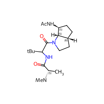 CN[C@@H](C)C(=O)NC(C(=O)N1CC[C@H]2CC[C@H](NC(C)=O)[C@H]21)C(C)(C)C